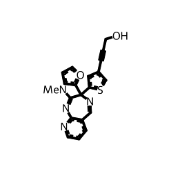 CNC1=Nc2ncccc2C=NC1(c1ccco1)c1cc(C#CCO)cs1